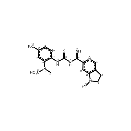 CC(C)N1CCc2cnc(C(=N)NC(=S)Nc3ncc(C(F)(F)F)cc3N(C)C(=O)O)cc21